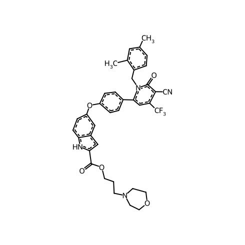 Cc1ccc(Cn2c(-c3ccc(Oc4ccc5[nH]c(C(=O)OCCCN6CCOCC6)cc5c4)cc3)cc(C(F)(F)F)c(C#N)c2=O)c(C)c1